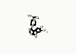 O=C(S)N1CCN(c2ncnc3[nH]c4cc(C(F)(F)F)c(Cl)cc4c23)CC1